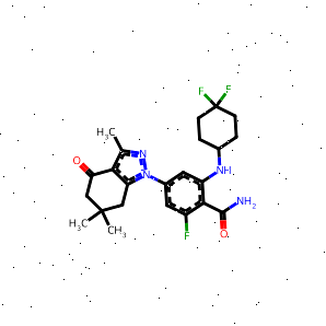 Cc1nn(-c2cc(F)c(C(N)=O)c(NC3CCC(F)(F)CC3)c2)c2c1C(=O)CC(C)(C)C2